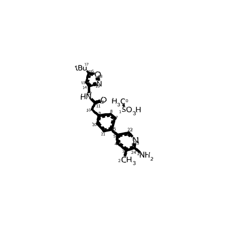 CS(=O)(=O)O.Cc1cc(-c2ccc(CC(=O)Nc3cc(C(C)(C)C)on3)cc2)cnc1N